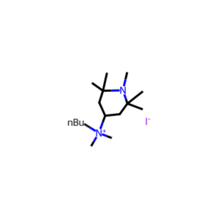 CCCC[N+](C)(C)C1CC(C)(C)N(C)C(C)(C)C1.[I-]